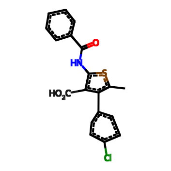 Cc1sc(NC(=O)c2ccccc2)c(C(=O)O)c1-c1ccc(Cl)cc1